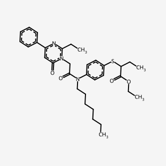 CCCCCCCN(C(=O)Cn1c(CC)nc(-c2ccccc2)cc1=O)c1ccc(SC(CC)C(=O)OCC)cc1